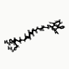 CCC(C)CCCCCCCCCCCCCCOC(=O)C1CC=CCC1C(=O)O